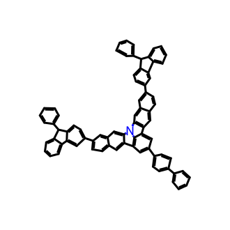 c1ccc(-c2ccc(-c3cc4c5cc6ccc(-c7ccc8c(c7)-c7ccccc7C8c7ccccc7)cc6cc5n5c6cc7cc(-c8ccc9c(c8)-c8ccccc8C9c8ccccc8)ccc7cc6c(c3)c45)cc2)cc1